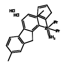 Cc1ccc2c(c1)Cc1c-2ccc(C)[c]1[Zr](=[SiH2])([C]1=CC=CC1)([CH](C)C)[CH](C)C.Cl.Cl